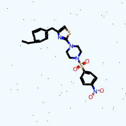 CCc1ccc(Cc2csc(N3CCN(S(=O)(=O)c4ccc([N+](=O)[O-])cc4)CC3)n2)cc1